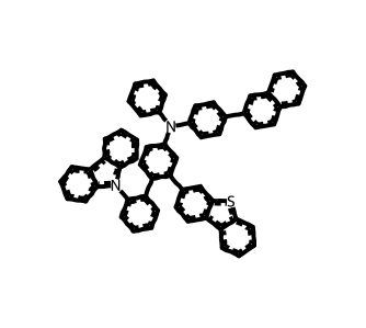 c1ccc(N(c2ccc(-c3ccc4ccccc4c3)cc2)c2ccc(-c3ccccc3-n3c4ccccc4c4ccccc43)c(-c3ccc4c(c3)sc3ccccc34)c2)cc1